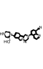 C[C@@H]1CN(c2ccc(C#N)c3ncccc23)CC2=C3CC=C(N4CCNC[C@H]4CO)C=C3CN21